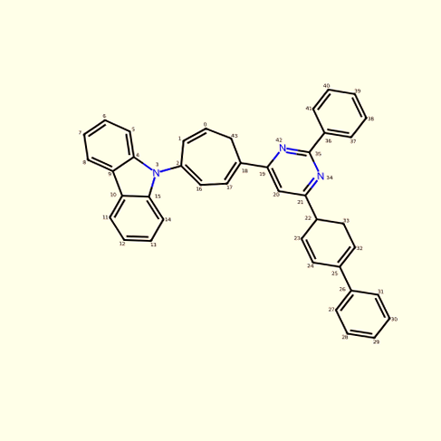 C1=CC(n2c3ccccc3c3ccccc32)=CC=C(c2cc(C3C=CC(c4ccccc4)=CC3)nc(-c3ccccc3)n2)C1